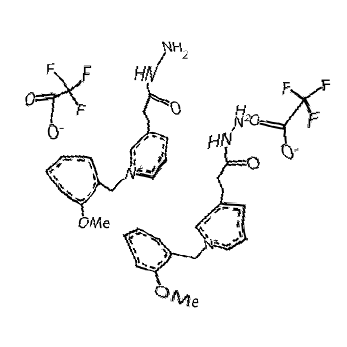 COc1ccccc1C[n+]1cccc(CC(=O)NN)c1.COc1ccccc1C[n+]1cccc(CC(=O)NN)c1.O=C([O-])C(F)(F)F.O=C([O-])C(F)(F)F